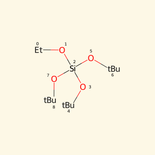 CCO[Si](OC(C)(C)C)(OC(C)(C)C)OC(C)(C)C